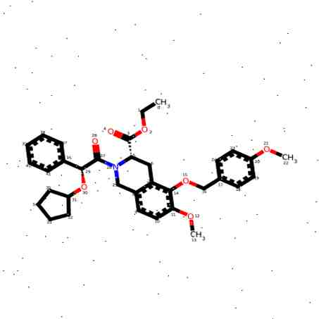 CCOC(=O)[C@@H]1Cc2c(ccc(OC)c2OCc2ccc(OC)cc2)CN1C(=O)[C@@H](OC1CCCC1)c1ccccc1